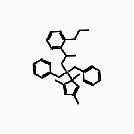 CCCc1cccnc1C(C)[S][Zr]([CH2]c1ccccc1)([CH2]c1ccccc1)[C]1(C)C=C(C)C=C1C